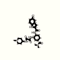 CN1CCC(NC(=O)C(=O)N[C@@H]2C[C@@H](C(=O)N(C)C)CC[C@@H]2NC(=O)c2cc3cc(Cl)ccc3[nH]2)CC1